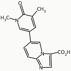 Cc1cc(-c2ccc3ncc(C(=O)O)n3c2)cn(C)c1=O